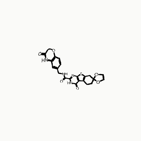 O=C1COc2ccc(CNC(=O)c3nc4sc5c(c4c(=O)[nH]3)CCC3(C5)OCCO3)cc2N1